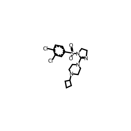 O=S(=O)(c1ccc(Cl)c(Cl)c1)N1CCN=C1N1CCN(C2CCC2)CC1